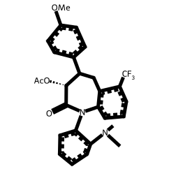 COc1ccc(C2Cc3c(cccc3C(F)(F)F)N(c3ccccc3N(C)C)C(=O)[C@@H]2OC(C)=O)cc1